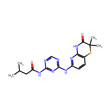 CC(C)CC(=O)Nc1ncnc(Nc2ccc3c(n2)NC(=O)C(C)(C)S3)n1